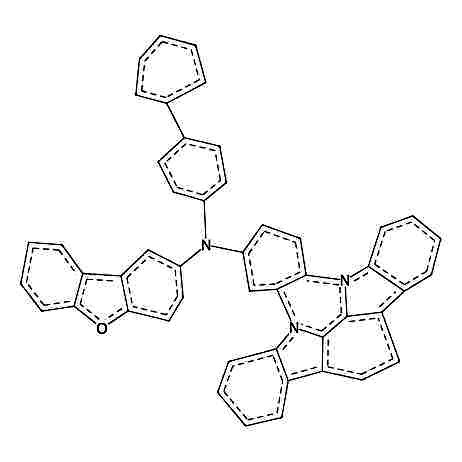 c1ccc(-c2ccc(N(c3ccc4oc5ccccc5c4c3)c3ccc4c(c3)n3c5ccccc5c5ccc6c7ccccc7n4c6c53)cc2)cc1